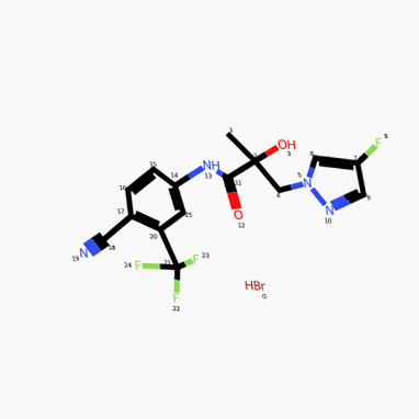 Br.CC(O)(Cn1cc(F)cn1)C(=O)Nc1ccc(C#N)c(C(F)(F)F)c1